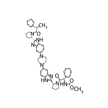 COC(=O)N[C@@H](C(=O)N1CCC[C@H]1c1nc2cc(N3CCN(c4ccc5[nH]c([C@@H]6CCCN6C(=O)[C@H](C)c6ccccc6)nc5c4)CC3)ccc2[nH]1)c1ccccc1